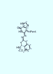 CCCCCn1c(=NN=C(CCNC(=O)O)Cc2ccccc2)[nH]c(=O)c2[nH]cnc21